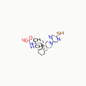 CC(C)(C[C@@H]1c2ccccc2CC12CCN(c1cnc(S)cn1)CC2)NC(=O)O